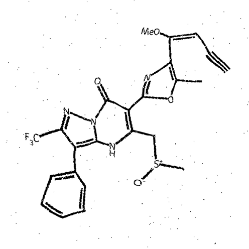 C#C/C=C(/OC)c1nc(-c2c(C[S+](C)[O-])[nH]c3c(-c4ccccc4)c(C(F)(F)F)nn3c2=O)oc1C